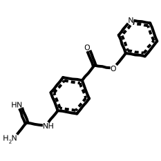 N=C(N)Nc1ccc(C(=O)Oc2cccnc2)cc1